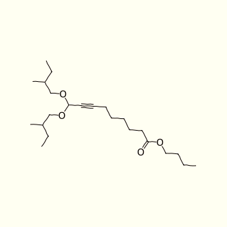 CCCCOC(=O)CCCCCC#CC(OCC(C)CC)OCC(C)CC